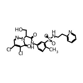 Cc1ccc(NC(=O)C(CO)n2ncc(Cl)c(Cl)c2=O)cc1S(=O)(=O)NCCc1ccccn1